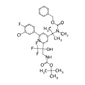 CN(C(=O)OCc1ccccc1)C(C)(C)c1cc(-c2ccc(F)c(Cl)c2)nc(C(O)(CNC(=O)OC(C)(C)C)C(F)(F)F)c1